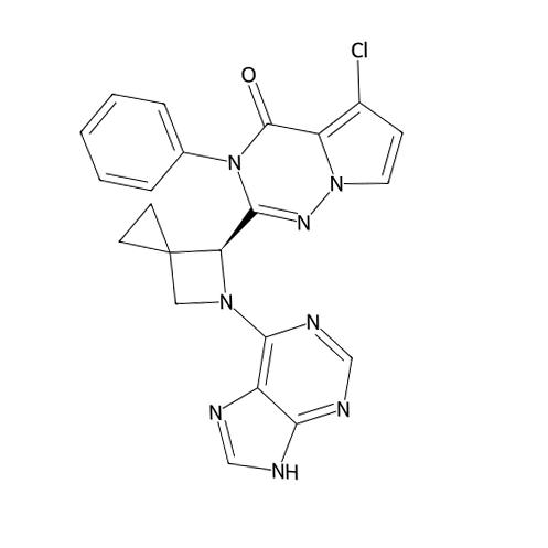 O=c1c2c(Cl)ccn2nc([C@H]2N(c3ncnc4[nH]cnc34)CC23CC3)n1-c1ccccc1